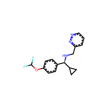 FC(F)Oc1ccc([C@@H](NCc2cccnn2)C2CC2)cc1